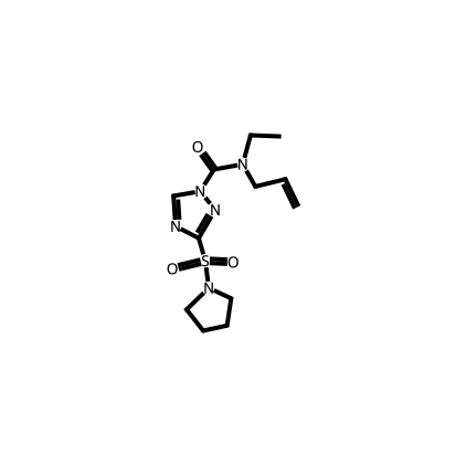 C=CCN(CC)C(=O)n1cnc(S(=O)(=O)N2CCCC2)n1